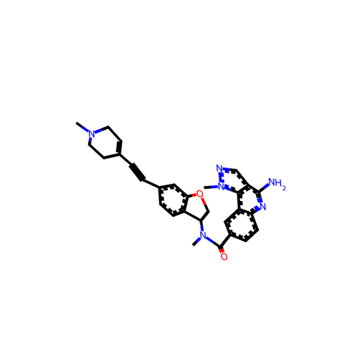 CN1CC=C(C#Cc2ccc3c(c2)OCC3N(C)C(=O)c2ccc3nc(N)c4cnn(C)c4c3c2)CC1